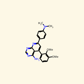 COc1cccc(-c2cc(-c3ccc(N(C)C)cc3)nc3ncnc(N)c23)c1OC